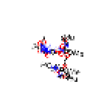 C=CCOC(=O)NC(C(=O)NC(C)C(=O)Nc1ccc(COC(=O)Nc2cc(OCCCCCOc3cc(NC(=O)O)c(C(=O)N4CC[C@H]4CO[Si](C)(C)C(C)(C)C)cc3OC)c(OC)cc2C(=O)N2CC[C@H]2CO[Si](C)(C)C(C)(C)C)cc1)C(C)C